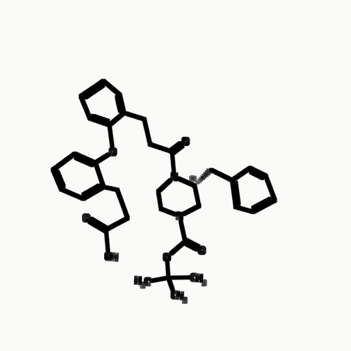 CC(C)(C)OC(=O)N1CCN(C(=O)CCc2ccccc2Oc2ccccc2CCC(=O)O)[C@H](Cc2ccccc2)C1